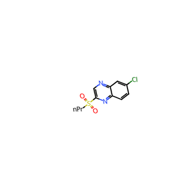 CCCS(=O)(=O)c1cnc2cc(Cl)ccc2n1